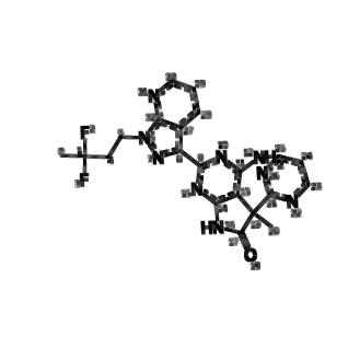 CC(F)(F)CCn1nc(-c2nc(N)c3c(n2)NC(=O)C3(C)c2ncccn2)c2cccnc21